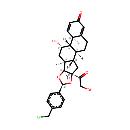 C[C@]12C[C@H](O)[C@H]3[C@@H](CCC4=CC(=O)C=C[C@@]43C)[C@@H]1C[C@@]1(C(=O)CO)O[C@@H](c3ccc(CBr)cc3)O[C@@H]21